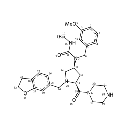 COc1cccc(CN(C(=O)NC(C)(C)C)[C@H]2C[C@@H](C(=O)N3CCNCC3)N(Cc3ccc4c(c3)OCC4)C2)c1